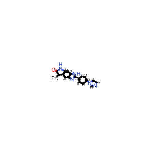 CC(C)C1C(=O)Nc2cc3[nH]c(-c4ccc(-n5ccnc5)cc4)nc3cc21